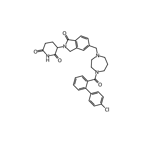 O=C1CCC(N2Cc3cc(CN4CCCN(C(=O)c5ccccc5-c5ccc(Cl)cc5)CC4)ccc3C2=O)C(=O)N1